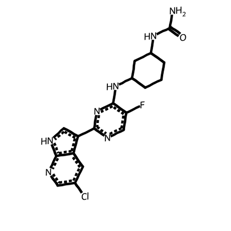 NC(=O)NC1CCCC(Nc2nc(-c3c[nH]c4ncc(Cl)cc34)ncc2F)C1